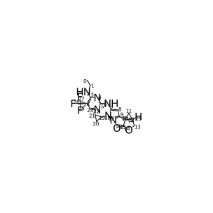 CCNc1nc(Nc2cc([C@@]34C[C@@H]3COC4=O)nn2C2CC2)ncc1C(F)(F)F